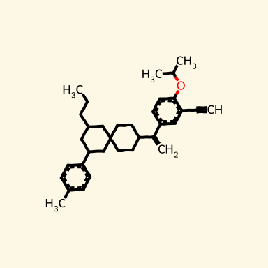 C#Cc1cc(C(=C)C2CCC3(CC2)CC(CCC)CC(c2ccc(C)cc2)C3)ccc1OC(C)C